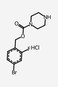 Cl.O=C(OCc1ccc(Br)cc1F)N1CCNCC1